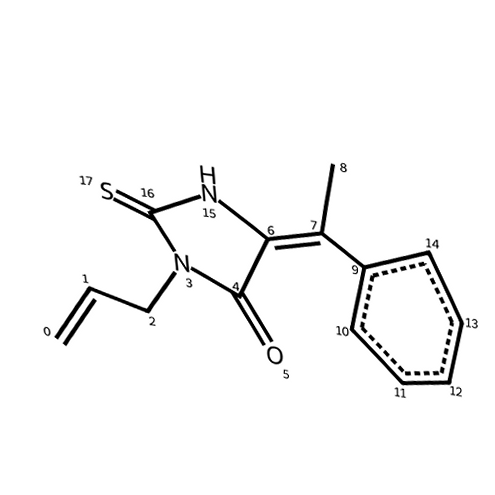 C=CCN1C(=O)C(=C(C)c2ccccc2)NC1=S